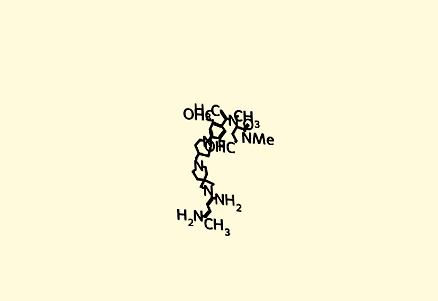 C/C=C(\c1cc(F)c(N2CCC(CN3CCC4(CC3)CN(/C(N)=C/C=C(/C)N)C4)CC2)cc1C=O)N(C)C(CCC=O)C(=O)NC